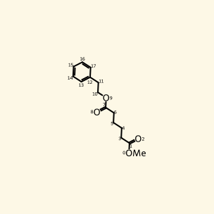 COC(=O)CCCCC(=O)OCCc1ccccc1